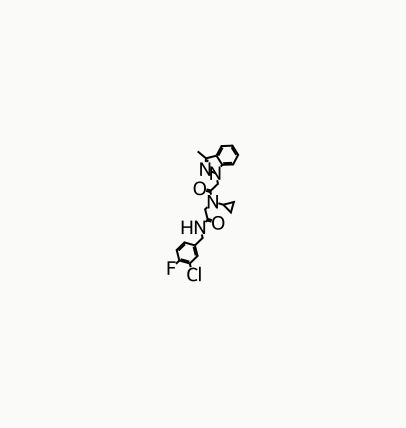 Cc1nn(CC(=O)N(CC(=O)NCc2ccc(F)c(Cl)c2)C2CC2)c2ccccc12